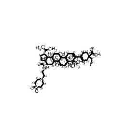 C=C(C)[C@@H]1CC[C@]2(C(=O)NCCN3CCS(=O)(=O)CC3)CC[C@]3(C)[C@H](CC[C@@H]4[C@@]5(C)CC=C(C6=CCC(CF)(C(=O)O)CC6)C(C)(C)[C@@H]5CC[C@]43C)[C@@H]12